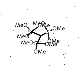 CO[Si](OC)(OC)C([Si](OC)(OC)OC)[Si](OC)(OC)OC